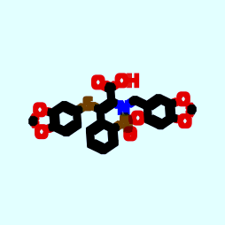 O=C(O)C1=C(Sc2ccc3c(c2)OCO3)c2ccccc2S(=O)(=O)N1Cc1ccc2c(c1)OCO2